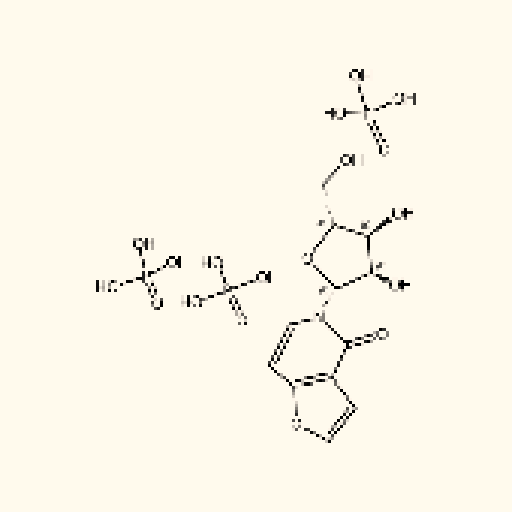 O=P(O)(O)O.O=P(O)(O)O.O=P(O)(O)O.O=c1c2ccoc2ccn1[C@@H]1O[C@H](CO)[C@@H](O)[C@H]1O